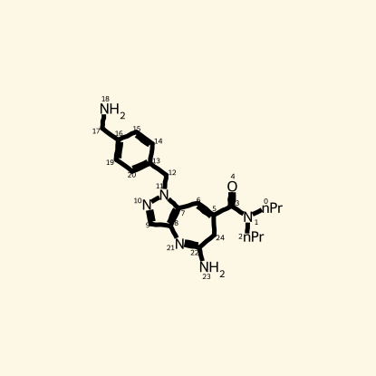 CCCN(CCC)C(=O)C1=Cc2c(cnn2Cc2ccc(CN)cc2)N=C(N)C1